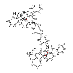 CC1(C)c2ccccc2-c2ccc(N(C=C(c3ccccc3)c3ccccc3)c3ccc(-c4ccc(N(C=C(c5ccccc5)c5ccccc5)c5ccc6c(c5)C(C)(C)c5ccccc5-6)cc4)cc3)cc21